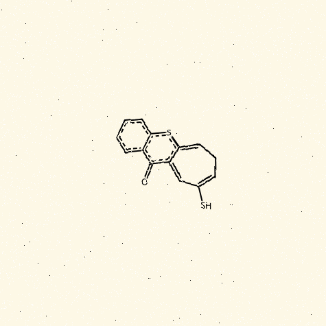 O=c1c2c(sc3ccccc13)=CCC=C(S)C=2